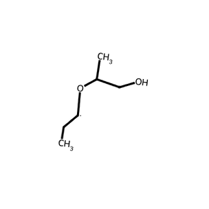 CC[CH]OC(C)CO